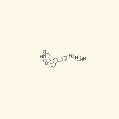 O=C1CCC(N2C(=O)c3cccc4c(Cc5ccc(CN6CC(N7CCNCC7)C6)cc5)ccc2c34)C(=O)N1